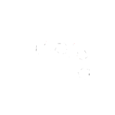 C=C(C)C(=O)Oc1cc(C)c(C(=O)c2ccc(-c3ccccc3)s2)c(C)c1